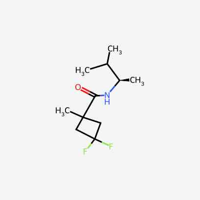 CC(C)[C@@H](C)NC(=O)C1(C)CC(F)(F)C1